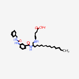 CCCCCCCCCCCCCCC(CNC#CCCC(=O)O)NC(=O)c1cccc(NC(=O)NCc2ccccc2)c1